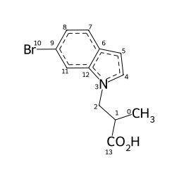 CC(Cn1ccc2ccc(Br)cc21)C(=O)O